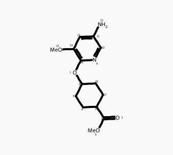 COC(=O)C1CCC(Oc2ncc(N)cc2OC)CC1